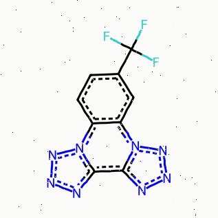 FC(F)(F)c1ccc2c(c1)n1nnnc1c1nnnn21